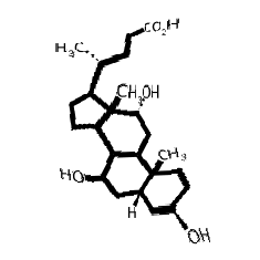 C[C@H](CCC(=O)O)C1CCC2C3C(O)C[C@H]4C[C@H](O)CCC4(C)C3C[C@@H](O)C21C